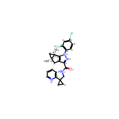 O=C(NCC1(c2ccccn2)CC1)c1nn(-c2ccc(F)cc2F)c2c1C[C@H]1C[C@@H]21